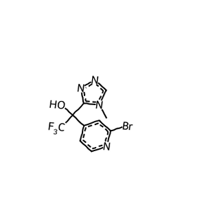 Cn1cnnc1C(O)(c1ccnc(Br)c1)C(F)(F)F